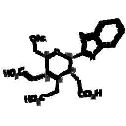 CC(=O)OC[C@@H]1O[C@H](c2nc3ccccc3s2)[C@H](CC(=O)O)[C@@H](CC(=O)O)[C@@H]1CC(=O)O